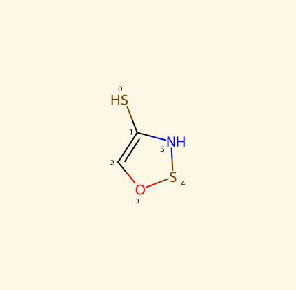 SC1=COSN1